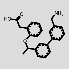 CC(Oc1ccccc1CC(=O)O)c1cccc(-c2cccc(CN)c2)c1